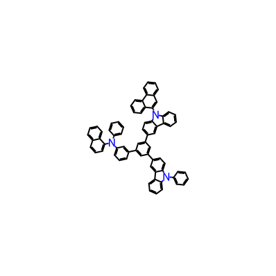 c1ccc(N(c2cccc(-c3cc(-c4ccc5c(c4)c4ccccc4n5-c4ccccc4)cc(-c4ccc5c(c4)c4ccccc4n5-c4cc5ccccc5c5ccccc45)c3)c2)c2cccc3ccccc23)cc1